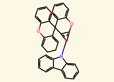 C1=C2Oc3ccccc3C3(C2=CCC1)C1=CC(n2c4ccccc4c4ccccc42)CC=C1Oc1ccccc13